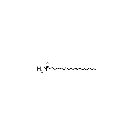 CCCCCCCC/C=C/CCCCCC/C=C/CCCC(N)=O